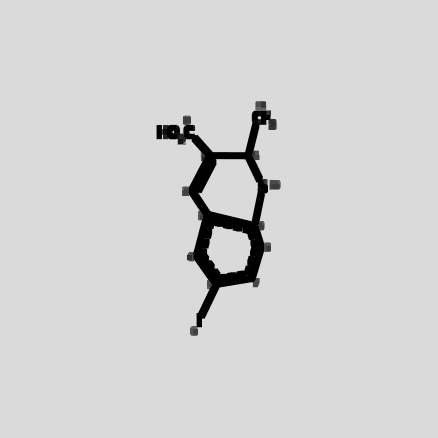 O=C(O)C1=Cc2cc(I)ccc2SC1C(F)(F)F